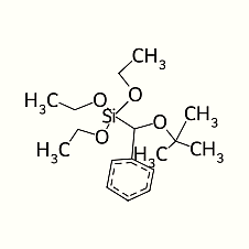 CCO[Si](OCC)(OCC)C(OC(C)(C)C)c1ccccc1